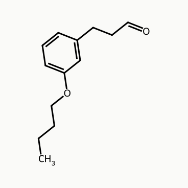 CCCCOc1cccc(CCC=O)c1